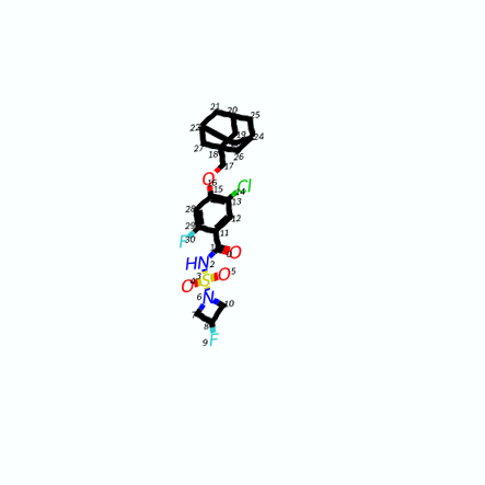 O=C(NS(=O)(=O)N1CC(F)C1)c1cc(Cl)c(OCC23CC4CC(CC(C4)C2)C3)cc1F